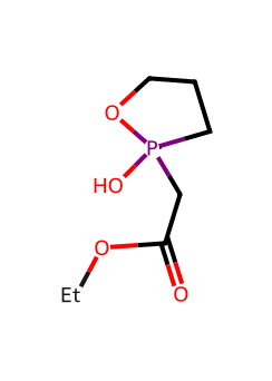 CCOC(=O)C[P]1(O)CCCO1